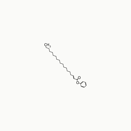 CCCCCCCCCCCCCCCC/C=C/C(=O)Oc1ccccc1